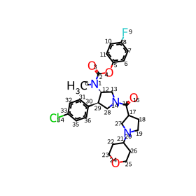 CN(C(=O)Oc1ccc(F)cc1)[C@@H]1CN(C(=O)C2CCN(C3CCOCC3)C2)C[C@H]1c1ccc(Cl)cc1